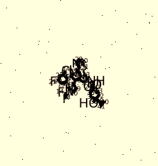 O=S(=O)(N[C@H]1CC2=C(c3ccn(C(F)F)n3)[C@H](c3ccc(F)cc3Cl)N=C(c3nccs3)N2C1)N1CCC(O)(C2CC2)CC1